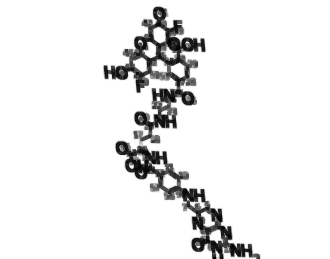 Nc1nc2ncc(CNc3ccc(C(=O)N[C@@H](CCC(=O)NCCNC(=O)c4ccc(C(=O)O)c(-c5c6cc(F)c(=O)cc-6oc6cc(O)c(F)cc56)c4)C(=O)O)cc3)nc2c(=O)[nH]1